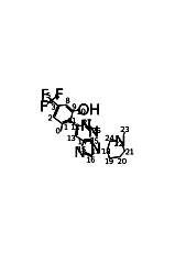 Cc1cc(C(F)(F)F)cc(O)c1-c1cc2ncn([C@H]3CCCN(C)C3)c2nn1